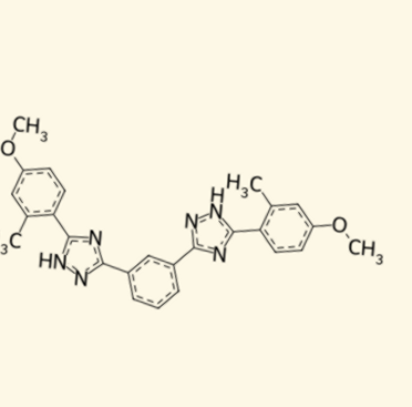 COc1ccc(-c2nc(-c3cccc(-c4n[nH]c(-c5ccc(OC)cc5C)n4)c3)n[nH]2)c(C)c1